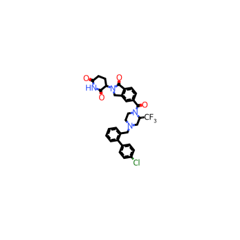 O=C1CCC(N2Cc3cc(C(=O)N4CCN(Cc5ccccc5-c5ccc(Cl)cc5)CC4C(F)(F)F)ccc3C2=O)C(=O)N1